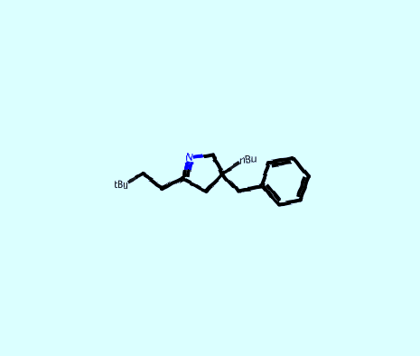 CCCCC1(Cc2ccccc2)CN=C(CCC(C)(C)C)C1